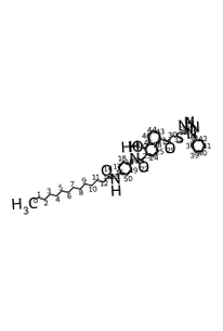 CCCCCCCCCCCCCC(=O)Nc1ccc(NC(=O)c2ccc3c(C(=O)CSc4nnnn4-c4ccccc4)cccc3c2O)cc1